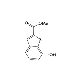 COC(=O)c1cc2cccc(O)c2s1